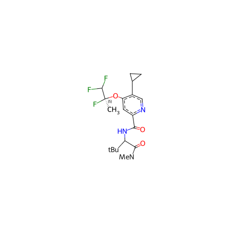 CNC(=O)C(NC(=O)c1cc(O[C@@](C)(F)C(F)F)c(C2CC2)cn1)C(C)(C)C